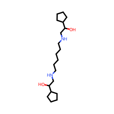 OC(CNCCCCCCNCC(O)C1CCCC1)C1CCCC1